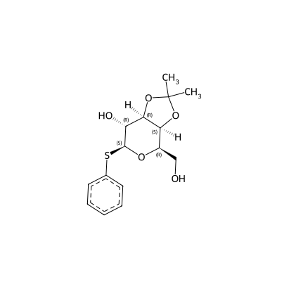 CC1(C)O[C@@H]2[C@@H](O)[C@H](Sc3ccccc3)O[C@H](CO)[C@@H]2O1